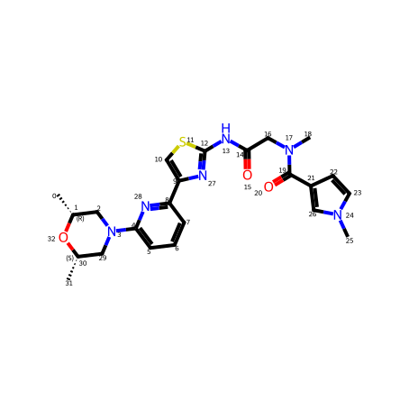 C[C@@H]1CN(c2cccc(-c3csc(NC(=O)CN(C)C(=O)c4ccn(C)c4)n3)n2)C[C@H](C)O1